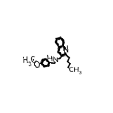 CCCCCc1nc2ccccc2cc1CNCc1ccc(OC)cc1